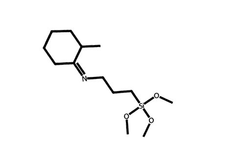 CO[Si](CCC/N=C1/CCCCC1C)(OC)OC